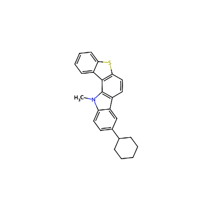 Cn1c2ccc(C3CCCCC3)cc2c2ccc3sc4ccccc4c3c21